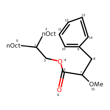 CCCCCCCCC(CCCCCCCC)COC(=O)C(Cc1ccccc1)OC